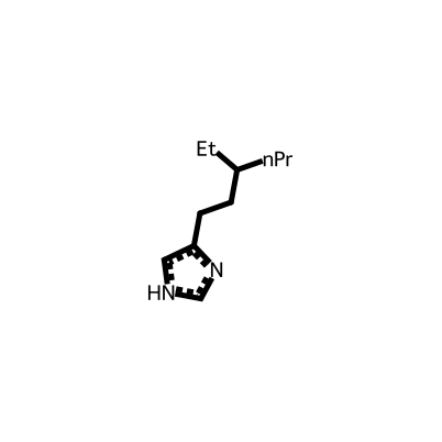 CCCC(CC)CCc1c[nH]cn1